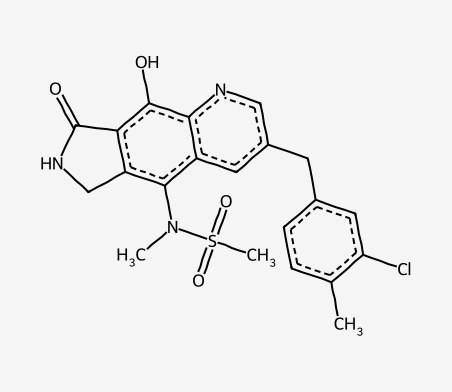 Cc1ccc(Cc2cnc3c(O)c4c(c(N(C)S(C)(=O)=O)c3c2)CNC4=O)cc1Cl